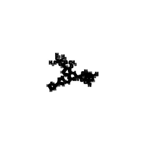 COc1c(CC(NC(=O)Cn2cc(-c3cccs3)nn2)B2O[C@@H]3C[C@@H]4C[C@@H](C4(C)C)[C@]3(C)O2)cccc1C(=O)OC(C)(C)C